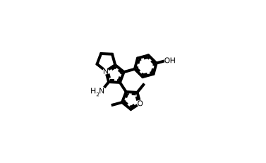 Cc1coc(C)c1-c1c(-c2ccc(O)cc2)c2n(c1N)CCC2